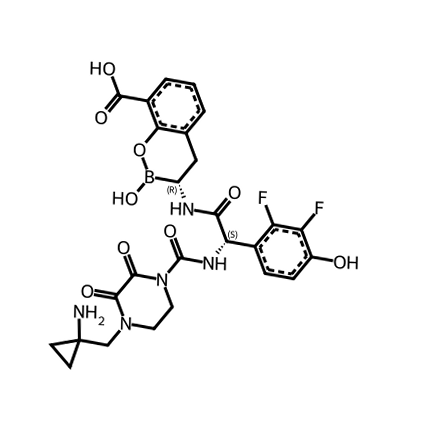 NC1(CN2CCN(C(=O)N[C@H](C(=O)N[C@H]3Cc4cccc(C(=O)O)c4OB3O)c3ccc(O)c(F)c3F)C(=O)C2=O)CC1